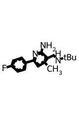 Cc1cc(-c2ccc(F)cc2)nc(N)c1CNC(C)(C)C